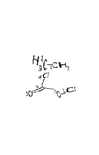 CC.O=C(Cl)OCl